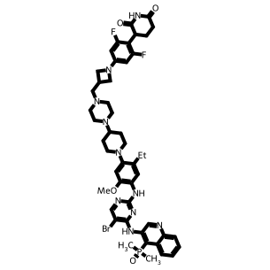 CCc1cc(Nc2ncc(Br)c(Nc3cnc4ccccc4c3P(C)(C)=O)n2)c(OC)cc1N1CCC(N2CCN(CC3CN(c4cc(F)c(C5CCC(=O)NC5=O)c(F)c4)C3)CC2)CC1